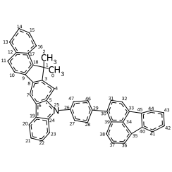 CC1(C)c2cc3c(cc2-c2ccc4ccccc4c21)c1ccccc1n3-c1ccc(-c2ccc3c4c(cccc24)-c2ccccc2-3)cc1